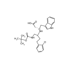 CC(C)(C)OC(=O)NCC(CCc1ccccc1Cl)N[C@H](CC(=O)O)Cc1c[nH]c2ccccc12